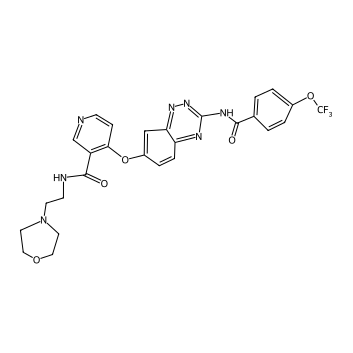 O=C(Nc1nnc2cc(Oc3ccncc3C(=O)NCCN3CCOCC3)ccc2n1)c1ccc(OC(F)(F)F)cc1